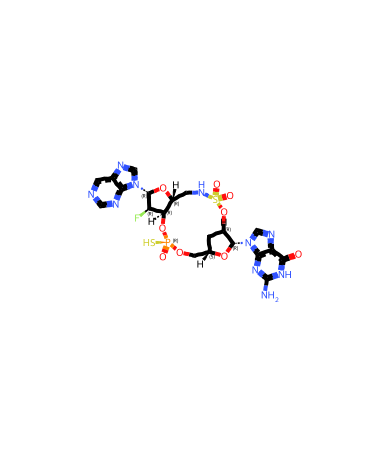 Nc1nc2c(ncn2[C@@H]2O[C@@H]3CO[P@@](=O)(S)O[C@H]4[C@@H](F)[C@H](n5cnc6cncnc65)O[C@@H]4CNS(=O)(=O)O[C@@H]2C3)c(=O)[nH]1